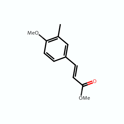 COC(=O)C=Cc1ccc(OC)c(C)c1